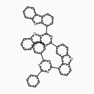 c1ccc(-c2nc(-c3ccccc3)nc(-c3cccc4oc5ccc(-c6nc(-c7cccc8c7oc7ccccc78)c7oc8ccccc8c7n6)cc5c34)n2)cc1